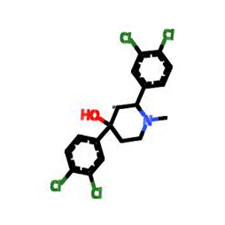 CN1CCC(O)(c2ccc(Cl)c(Cl)c2)[CH]C1c1ccc(Cl)c(Cl)c1